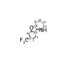 FC(F)(F)c1ccc2c(c1)OC1CCCCNC21